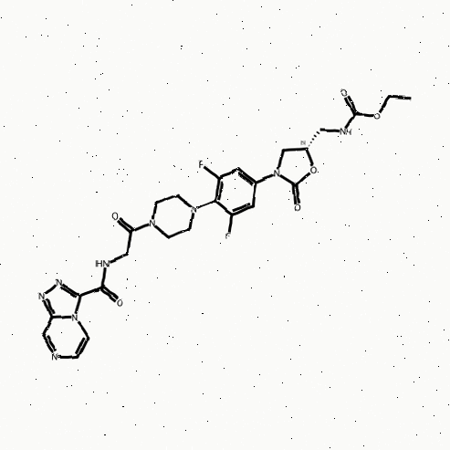 CCOC(=O)NC[C@H]1CN(c2cc(F)c(N3CCN(C(=O)CNC(=O)c4nnc5cnccn45)CC3)c(F)c2)C(=O)O1